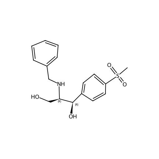 CS(=O)(=O)c1ccc([C@@H](O)[C@@H](CO)NCc2ccccc2)cc1